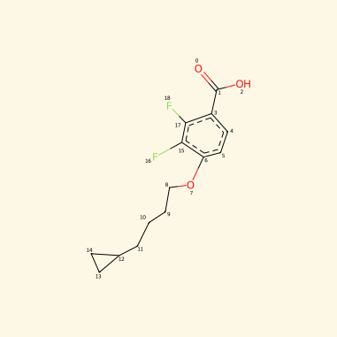 O=C(O)c1ccc(OCCCCC2CC2)c(F)c1F